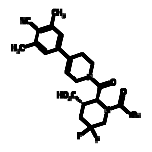 Cc1cc(C2=CCN(C(=O)[C@@H]3[C@@H](C(=O)O)CC(F)(F)CN3C(=O)C(C)(C)C)CC2)cc(C)c1C#N